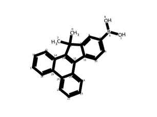 CC1(C)c2cc(B(O)O)ccc2-c2c1c1ccccc1c1ccccc21